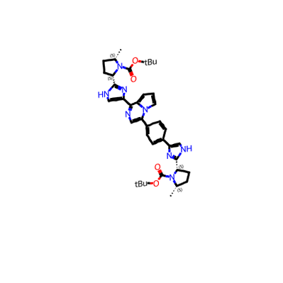 C[C@H]1CC[C@@H](c2nc(-c3ccc(-c4cnc(-c5c[nH]c([C@@H]6CC[C@H](C)N6C(=O)OC(C)(C)C)n5)c5cccn45)cc3)c[nH]2)N1C(=O)OC(C)(C)C